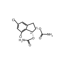 NC(=O)O[C@H]1Cc2cc(Cl)cc(Cl)c2[C@H]1OC(N)=O